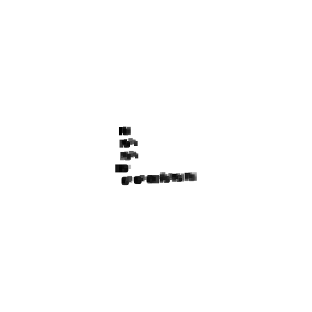 [O-2].[O-2].[OH-].[OH-].[Pb+2].[Pb+2].[Pb+2].[Pb].[Pb].[Pb]